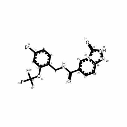 O=C(NCc1ccc(Br)cc1OC(F)(F)F)c1ccc2n[nH]c(=O)n2c1